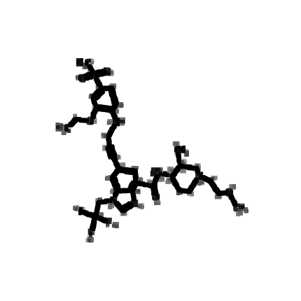 CCOc1cc(S(C)(=O)=O)ccc1NCC#Cc1cc(C(=O)N[C@H]2CCN(CCOC)C[C@@H]2C)c2ncn(CC(F)(F)F)c2c1